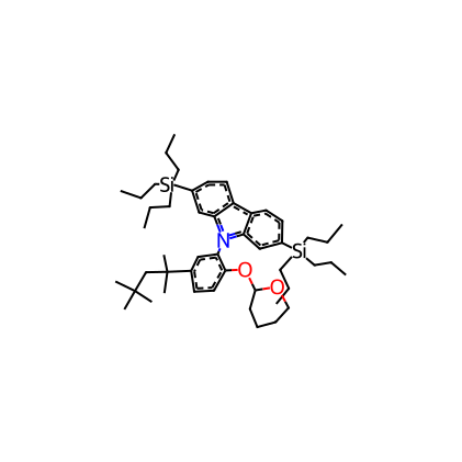 CCC[Si](CCC)(CCC)c1ccc2c3ccc([Si](CCC)(CCC)CCC)cc3n(-c3cc(C(C)(C)CC(C)(C)C)ccc3OC3CCCCO3)c2c1